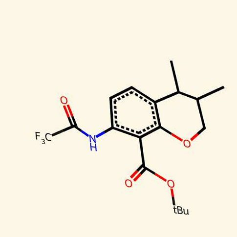 CC1COc2c(ccc(NC(=O)C(F)(F)F)c2C(=O)OC(C)(C)C)C1C